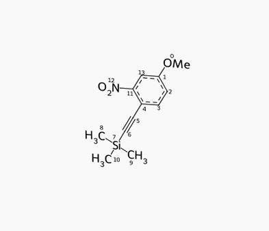 COc1ccc(C#C[Si](C)(C)C)c([N+](=O)[O-])c1